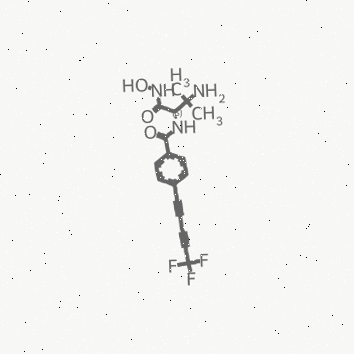 CC(C)(N)[C@H](NC(=O)c1ccc(C#CC#CC(F)(F)F)cc1)C(=O)NO